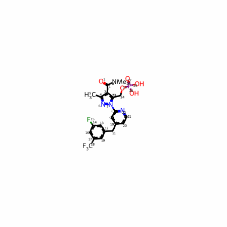 CNC(=O)c1c(C)nn(-c2cc(Cc3cc(F)cc(C(F)(F)F)c3)ccn2)c1COP(=O)(O)O